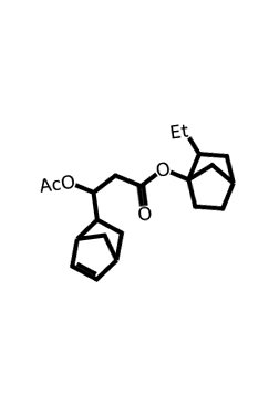 CCC1CC2CCC1(OC(=O)CC(OC(C)=O)C1CC3C=CC1C3)C2